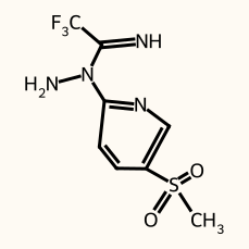 CS(=O)(=O)c1ccc(N(N)C(=N)C(F)(F)F)nc1